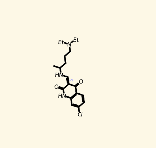 CCN(CC)CCCC(C)N/C=C1\C(=O)Nc2cc(Cl)ccc2C1=O